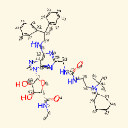 CCNC(=O)[C@H]1O[C@@H](n2cnc3c(NCC(c4ccccc4)c4ccccc4)nc(CNC(=O)NCCN(C4CCCCC4)C(C)(C)C)nc32)[C@H](O)[C@@H]1O